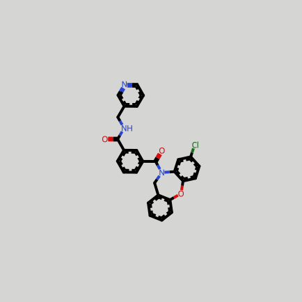 O=C(NCc1cccnc1)c1cccc(C(=O)N2Cc3ccccc3Oc3ccc(Cl)cc32)c1